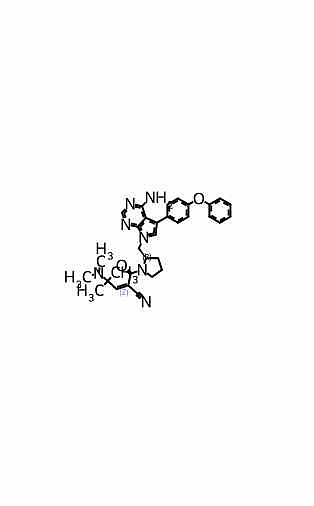 CN(C)C(C)(C)/C=C(/C#N)C(=O)N1CCC[C@@H]1Cn1cc(-c2ccc(Oc3ccccc3)cc2)c2c(N)ncnc21